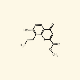 CCCc1c(O)ccc2c(=O)cc(C(=O)OC)sc12